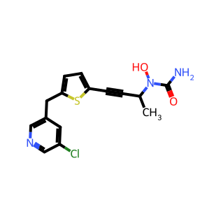 CC(C#Cc1ccc(Cc2cncc(Cl)c2)s1)N(O)C(N)=O